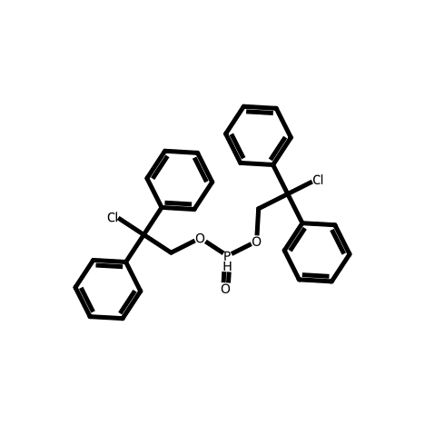 O=[PH](OCC(Cl)(c1ccccc1)c1ccccc1)OCC(Cl)(c1ccccc1)c1ccccc1